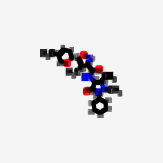 CC1=CC[C@H](c2onc(C(=O)Nc3c(C)n(C)n(C4CCCCC4)c3=O)c2C)OC1